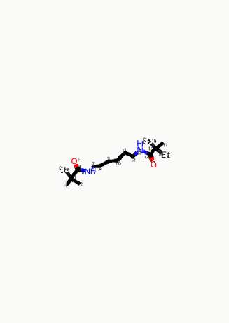 CCC(C)(C)C(=O)NCCCCCCNC(=O)C(C)(CC)CC